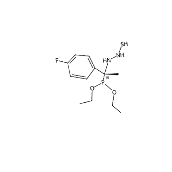 CCOP(OCC)[C@@](C)(NNS)c1ccc(F)cc1